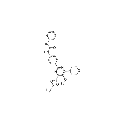 CCOc1c(C2OC(C)O2)nc(-c2ccc(NC(=O)Nc3ccccn3)cc2)nc1N1CCOCC1